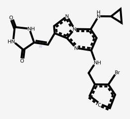 O=C1NC(=O)/C(=C/c2cnn3c(NC4CC4)cc(NCc4ccccc4Br)nc23)N1